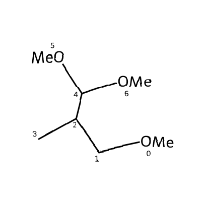 COCC(C)C(OC)OC